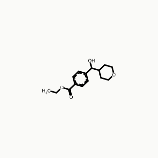 CCOC(=O)c1ccc(C(O)C2CCOCC2)cc1